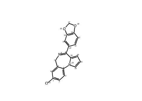 Clc1ccc2c(c1)CN=C(c1ccc3c(c1)OCO3)c1cccn1-2